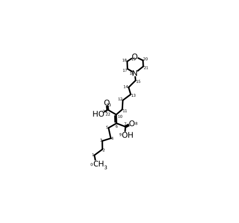 CCCCCCC(C(=O)O)=C(CCCCCN1CCOCC1)C(=O)O